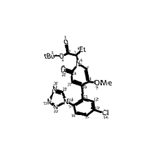 CCC(C(=O)OC(C)(C)C)n1cc(OC)c(-c2cc(Cl)ccc2-n2cnnn2)cc1=O